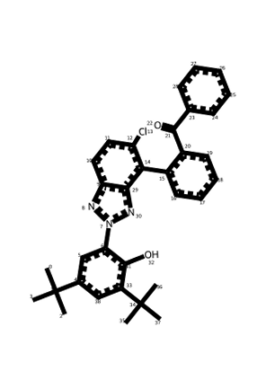 CC(C)(C)c1cc(-n2nc3ccc(Cl)c(-c4ccccc4C(=O)c4ccccc4)c3n2)c(O)c(C(C)(C)C)c1